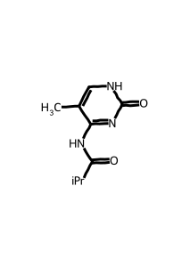 Cc1c[nH]c(=O)nc1NC(=O)C(C)C